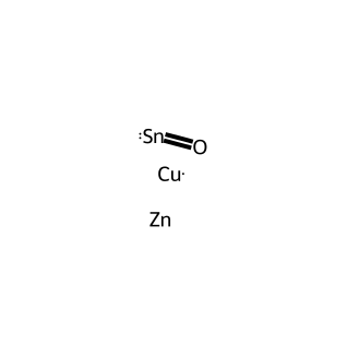 [Cu].[O]=[Sn].[Zn]